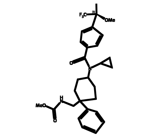 COC(=O)NCC1(c2ccccc2)CCC(N(C(=O)c2ccc([C@](C)(OC)C(F)(F)F)cc2)C2CC2)CC1